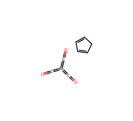 C1=CCC=C1.O=[C]=[Re](=[C]=O)=[C]=O